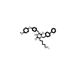 COc1ccc(Oc2ccc(C[C@@H]3NC(=O)[C@H](CCCCN)N(Cc4ccc(-c5ccccc5)cc4)C3=O)cc2)cc1